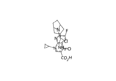 NCC(Cl)=C1CC2CCC(C1)N2c1nc2c(cc1F)c(=O)c(C(=O)O)cn2C1CC1